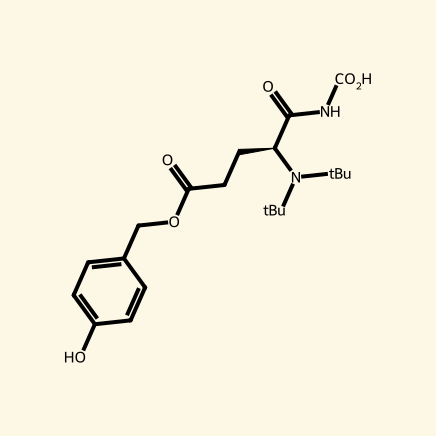 CC(C)(C)N([C@@H](CCC(=O)OCc1ccc(O)cc1)C(=O)NC(=O)O)C(C)(C)C